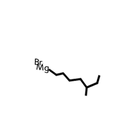 CCC(C)CCC[CH2][Mg][Br]